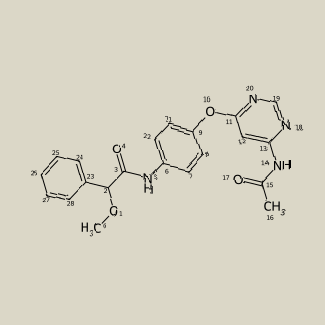 COC(C(=O)Nc1ccc(Oc2cc(NC(C)=O)ncn2)cc1)c1ccccc1